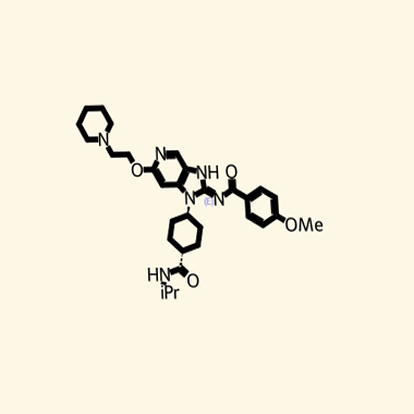 COc1ccc(C(=O)/N=c2\[nH]c3cnc(OCCN4CCCCC4)cc3n2[C@H]2CC[C@@H](C(=O)NC(C)C)CC2)cc1